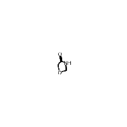 O=C1[CH]OCN1